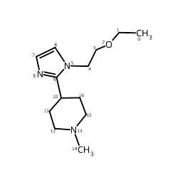 CCOCCn1ccnc1C1CCN(C)CC1